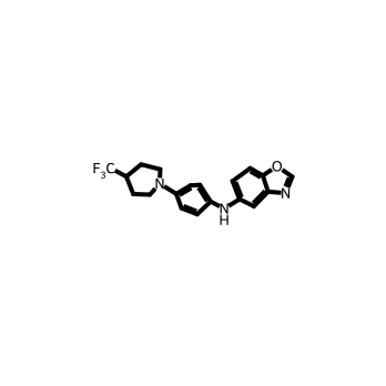 FC(F)(F)C1CCN(c2ccc(Nc3ccc4ocnc4c3)cc2)CC1